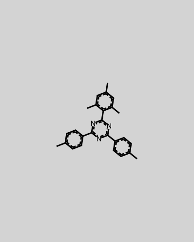 Cc1ccc(-c2nc(-c3ccc(C)cc3)nc(-c3c(C)cc(C)cc3C)n2)cc1